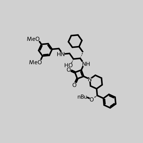 CCCCO[C@@H](c1ccccc1)C1CCCN(c2c(N[C@@H](CC3CCCCC3)[C@H](O)CNCc3cc(OC)cc(OC)c3)c(=O)c2=O)C1